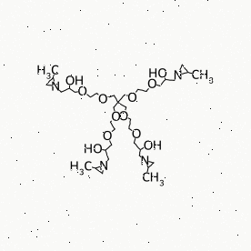 CC1CN1CC(O)COCCOCC(COCCOCC(O)CN1CC1C)(COCCOCC(O)CN1CC1C)COCCOCC(O)CN1CC1C